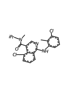 Cc1c(Cl)cccc1Nc1ncc(C(=O)N(C)C(C)C)c2c(Cl)cccc12